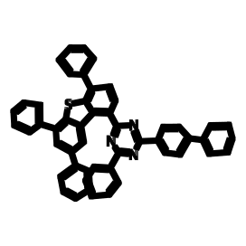 c1ccc(-c2ccc(-c3nc(-c4ccccc4)nc(-c4ccc(-c5ccccc5)c5sc6c(-c7ccccc7)cc(-c7ccccc7)cc6c45)n3)cc2)cc1